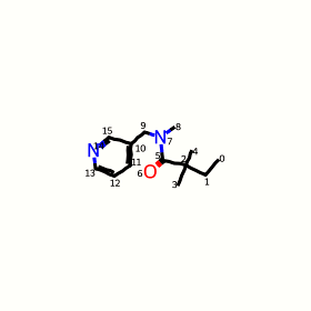 CCC(C)(C)C(=O)N(C)Cc1cccnc1